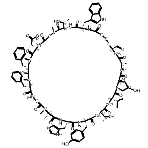 CC(C)[C@@H]1NC(=O)[C@H]([C@@H](C)O)NC(=O)[C@H](Cc2ccc(O)cc2)NC(=O)[C@H](Cc2cnc[nH]2)NC(=O)[C@H](C)N(C)C(=O)CNC(=O)[C@H](Cc2ccccc2)N(C)C(O)[C@H](Cc2ccccc2)N(C)C(=O)[C@H](CC(=O)O)NC(=O)CN(C)C(=O)[C@H]([C@@H](C)O)NC(=O)[C@H](Cc2c[nH]c3ccccc23)NC(=O)CSC[C@@H](C=O)NC(=O)[C@H](C)NC(=O)[C@@H]2C[C@@H](O)CN2C1=O